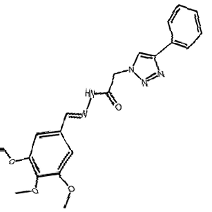 COc1cc(C=NNC(=O)Cn2cc(-c3ccccc3)nn2)cc(OC)c1OC